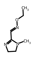 CCO/N=C/C1=NCCN1C